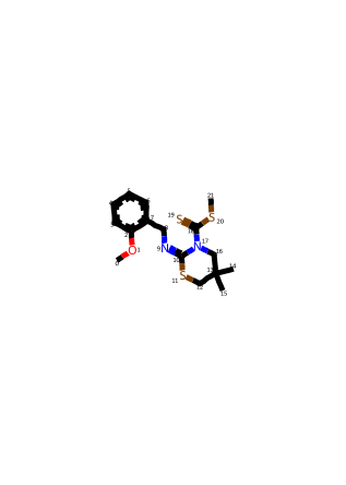 COc1ccccc1C/N=C1/SCC(C)(C)CN1C(=S)SC